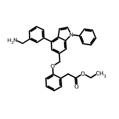 CCOC(=O)Cc1ccccc1OCc1cc(-c2cccc(CN)c2)c2ccn(-c3ccccc3)c2c1